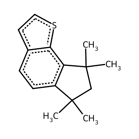 CC1(C)CC(C)(C)c2c1ccc1ccsc21